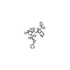 NC(=O)c1nn(CC(=O)N2[C@@H]3C[C@@H]3C[C@H]2C(=O)N[C@@H]2C[C@H]2c2ccccc2)c2cnccc12